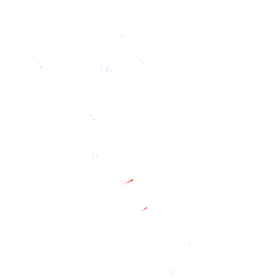 N=C(N)NCC(=O)N[C@@H](CCC(N)=O)C(=O)NC[C@@H](O)[C@@H](O)[C@@H](O)Cc1c[nH]c(=O)[nH]c1=O